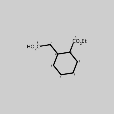 CCOC(=O)C1CCCCC1CC(=O)O